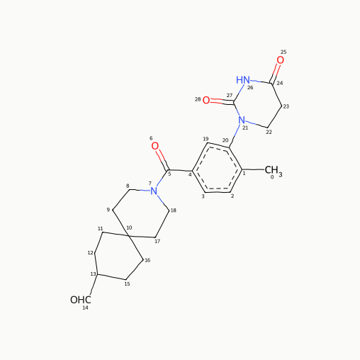 Cc1ccc(C(=O)N2CCC3(CCC(C=O)CC3)CC2)cc1N1CCC(=O)NC1=O